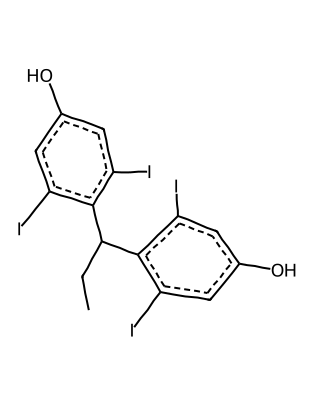 CCC(c1c(I)cc(O)cc1I)c1c(I)cc(O)cc1I